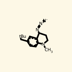 CN1CCC(N=[N+]=[N-])c2cc(CC(C)(C)C)ccc21